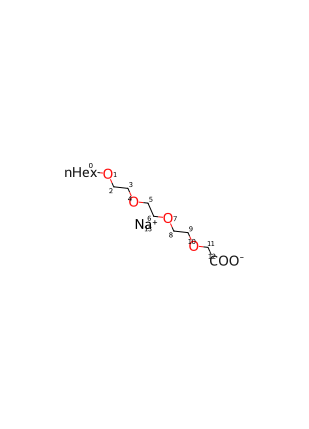 CCCCCCOCCOCCOCCOCC(=O)[O-].[Na+]